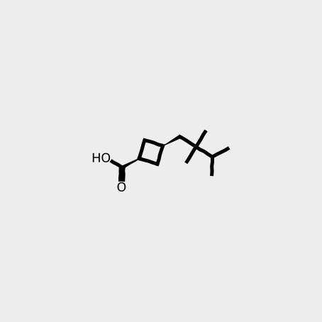 CC(C)C(C)(C)C[C@H]1C[C@@H](C(=O)O)C1